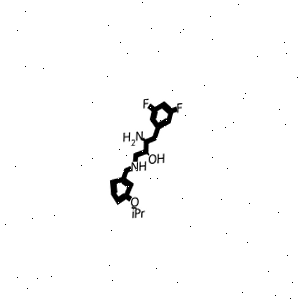 CC(C)Oc1cccc(CNC[C@@H](O)[C@@H](N)Cc2cc(F)cc(F)c2)c1